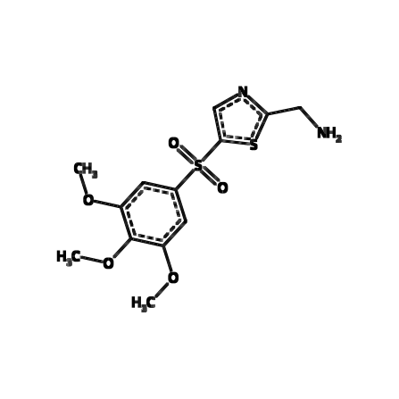 COc1cc(S(=O)(=O)c2cnc(CN)s2)cc(OC)c1OC